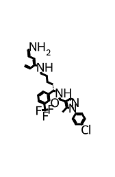 C=C/C(=C\C=C/N)NCCCC[C@H](NC(=O)c1cnn(-c2ccc(Cl)cc2)c1C)c1cccc(C(F)(F)F)c1